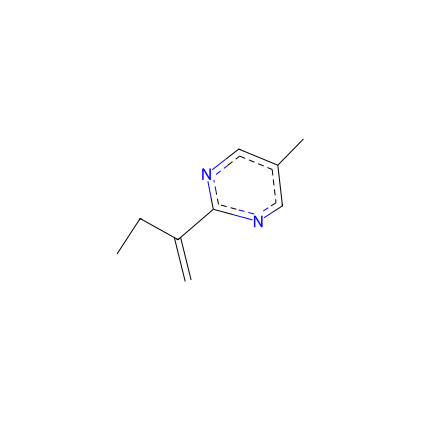 C=C(CC)c1ncc(C)cn1